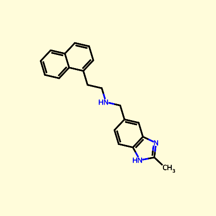 Cc1nc2cc(CNCCc3cccc4ccccc34)ccc2[nH]1